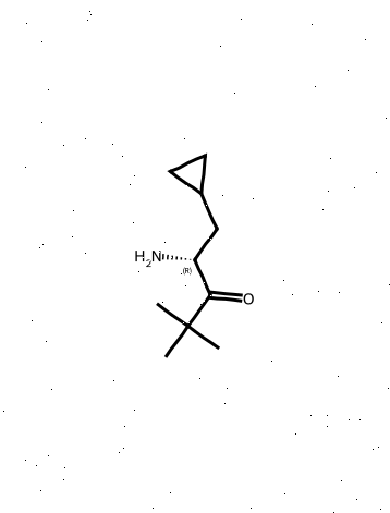 CC(C)(C)C(=O)[C@H](N)CC1CC1